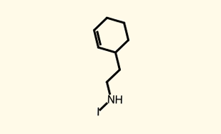 INCCC1C=CCCC1